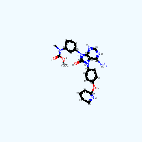 CN(C(=O)OC(C)(C)C)c1cccc(-n2c(=O)n(-c3ccc(Oc4ccccn4)cc3)c3c(N)ncnc32)c1